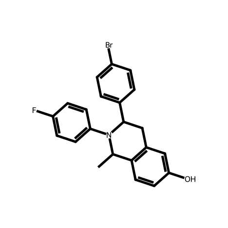 CC1c2ccc(O)cc2CC(c2ccc(Br)cc2)N1c1ccc(F)cc1